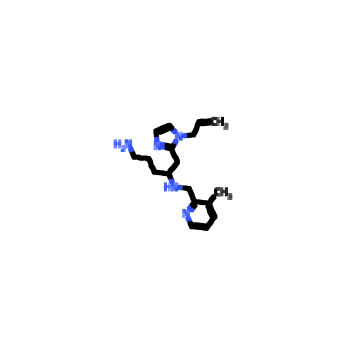 C=CCn1ccnc1CC(CCCN)NCc1ncccc1C